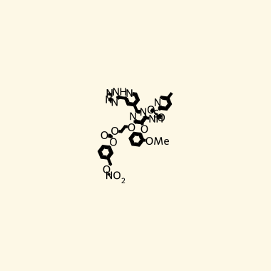 COc1ccccc1Oc1c(NS(=O)(=O)c2ccc(C)cn2)nc(-c2ccnc(-c3nnn[nH]3)c2)nc1OCCOC(=O)Oc1cccc(CO[N+](=O)[O-])c1